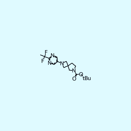 CC(C)(C)OC(=O)N1CCC2(C1)CN(c1cnc(C(C)(F)F)nc1)C2